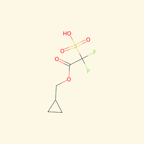 O=C(OCC1CC1)C(F)(F)S(=O)(=O)O